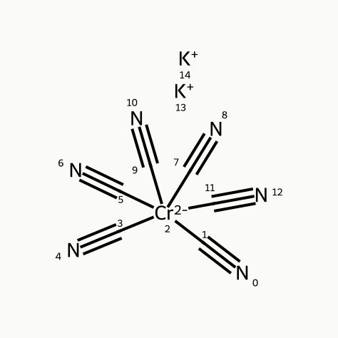 N#[C][Cr-2]([C]#N)([C]#N)([C]#N)([C]#N)[C]#N.[K+].[K+]